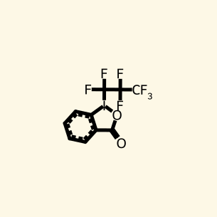 O=C1OI(C(F)(F)C(F)(F)C(F)(F)F)c2ccccc21